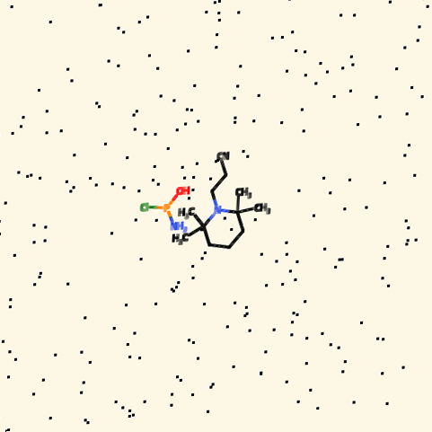 CC1(C)CCCC(C)(C)N1CCC#N.NP(O)Cl